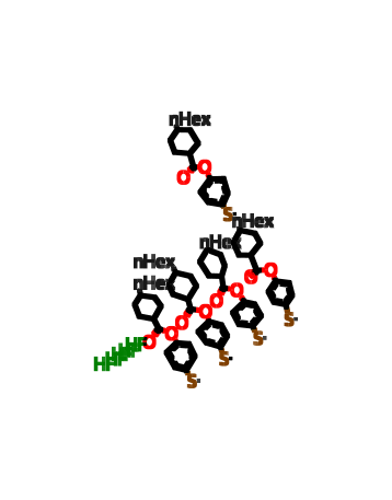 CCCCCCC1CCC(C(=O)Oc2ccc([S])cc2)CC1.CCCCCCC1CCC(C(=O)Oc2ccc([S])cc2)CC1.CCCCCCC1CCC(C(=O)Oc2ccc([S])cc2)CC1.CCCCCCC1CCC(C(=O)Oc2ccc([S])cc2)CC1.CCCCCCC1CCC(C(=O)Oc2ccc([S])cc2)CC1.F.F.F.F.F